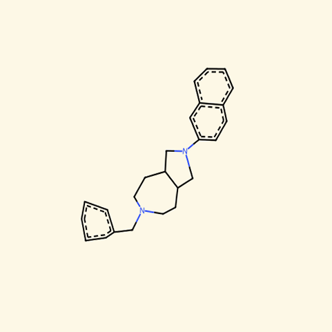 c1ccc(CN2CCC3CN(c4ccc5ccccc5c4)CC3CC2)cc1